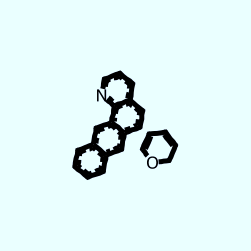 C1=CCOC=C1.c1ccc2cc3c(ccc4cccnc43)cc2c1